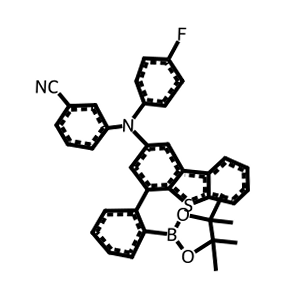 CC1(C)OB(c2ccccc2-c2cc(N(c3ccc(F)cc3)c3cccc(C#N)c3)cc3c2sc2ccccc23)OC1(C)C